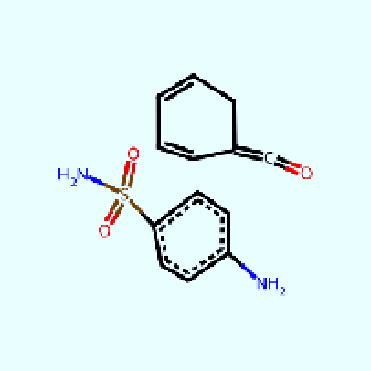 Nc1ccc(S(N)(=O)=O)cc1.O=C=C1C=CC=CC1